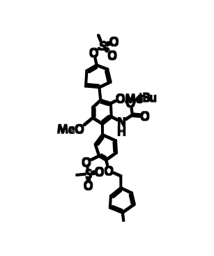 COc1cc(-c2ccc(OS(C)(=O)=O)cc2)c(OC)c(NC(=O)OC(C)(C)C)c1-c1ccc(OCc2ccc(C)cc2)c(OS(C)(=O)=O)c1